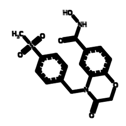 CS(=O)(=O)c1ccc(CN2C(=O)COc3ccc(C(=O)NO)cc32)cc1